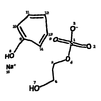 O=S(=O)([O-])OCCO.Oc1ccccc1.[Na+]